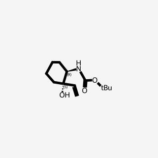 C=C[C@@]1(O)CCCC[C@H]1NC(=O)OC(C)(C)C